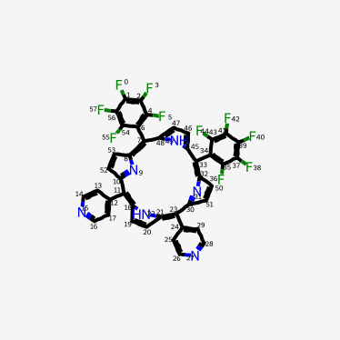 Fc1c(F)c(F)c(-c2c3nc(c(-c4ccncc4)c4ccc([nH]4)c(-c4ccncc4)c4nc(c(-c5c(F)c(F)c(F)c(F)c5F)c5ccc2[nH]5)C=C4)C=C3)c(F)c1F